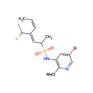 C/C=C\C(=C/C(C)S(=O)(=O)Nc1cc(Br)cnc1OC)C(F)I